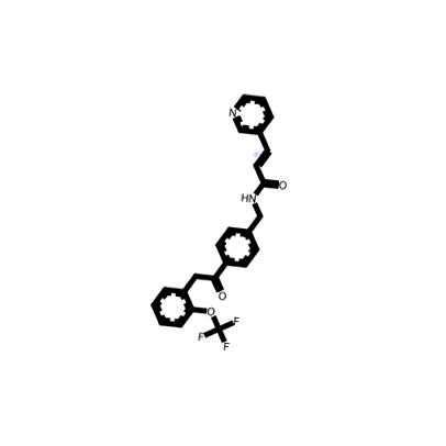 O=C(/C=C/c1cccnc1)NCc1ccc(C(=O)Cc2ccccc2OC(F)(F)F)cc1